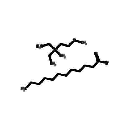 CCCCCCCCCCCC(=O)[O-].CC[N+](C)(CC)CCOC